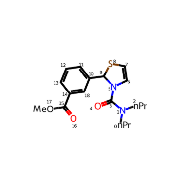 CCCN(CCC)C(=O)N1C=CSC1c1cccc(C(=O)OC)c1